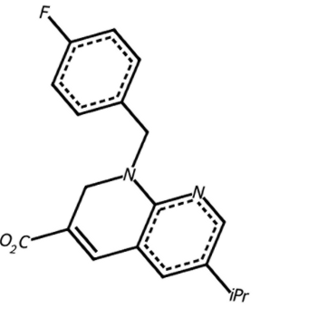 CCOC(=O)C1=Cc2cc(C(C)C)cnc2N(Cc2ccc(F)cc2)C1